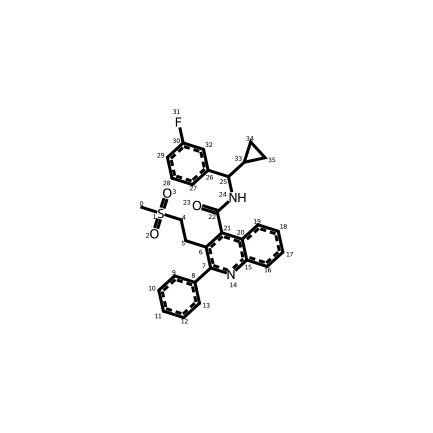 CS(=O)(=O)CCc1c(-c2ccccc2)nc2ccccc2c1C(=O)NC(c1cccc(F)c1)C1CC1